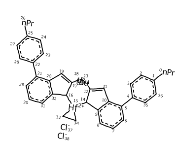 CCCc1ccc(-c2cccc3c2C=C(C(C)(C)C)[CH]3[Hf+2]2([CH]3C(C(C)(C)C)=Cc4c(-c5ccc(CCC)cc5)cccc43)[CH2][CH2]2)cc1.[Cl-].[Cl-]